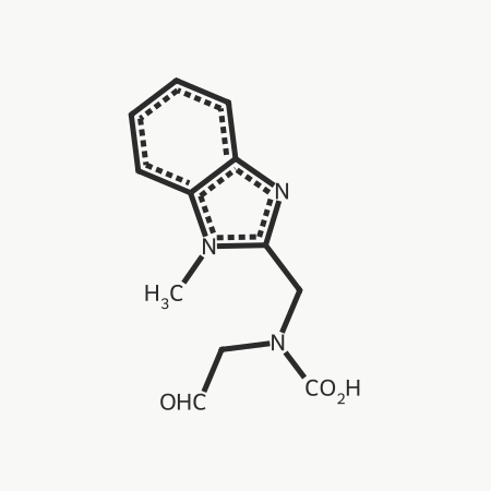 Cn1c(CN(CC=O)C(=O)O)nc2ccccc21